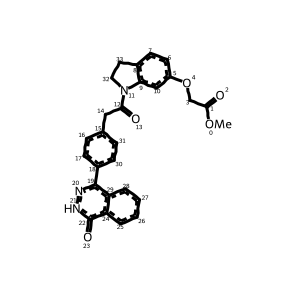 COC(=O)COc1ccc2c(c1)N(C(=O)Cc1ccc(-c3n[nH]c(=O)c4ccccc34)cc1)CC2